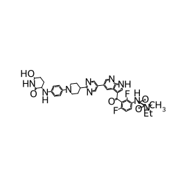 CCN(C)S(=O)(=O)Nc1ccc(F)c(C(=O)c2c[nH]c3ncc(-c4cnc(C5CCN(c6ccc(NC7CCC(O)NC7=O)cc6)CC5)nc4)cc23)c1F